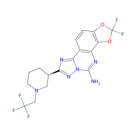 Nc1nc2c3c(ccc2c2nc([C@@H]4CCCN(CC(F)(F)F)C4)nn12)OC(F)(F)O3